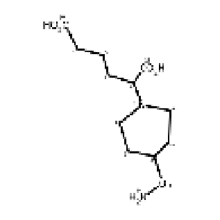 NOC1CCN(C(CCCC(=O)O)C(=O)O)CC1